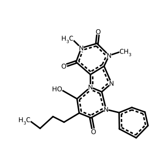 CCCCc1c(O)n2c3c(=O)n(C)c(=O)n(C)c3nc2n(-c2ccccc2)c1=O